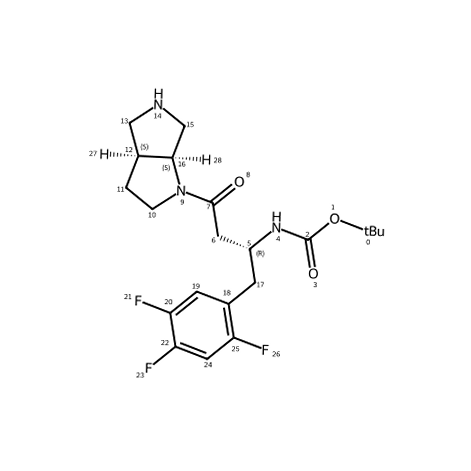 CC(C)(C)OC(=O)N[C@@H](CC(=O)N1CC[C@H]2CNC[C@H]21)Cc1cc(F)c(F)cc1F